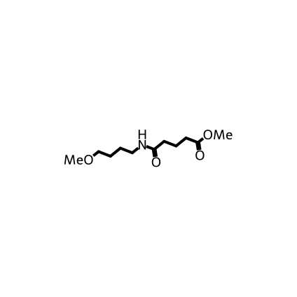 COCCCCNC(=O)CCCC(=O)OC